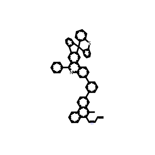 C=C/C=C\c1c(C)c2cc(-c3cccc(-c4ccc5c(c4)nc(-c4ccccc4)c4cc6c(cc45)C4(c5ccccc5Sc5ccccc54)c4ccccc4-6)c3)ccc2c2ccccc12